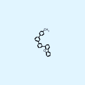 Cc1ccc(-c2cccc(-c3cccc(-c4cccc5c4oc4ccccc45)c3)c2)cc1